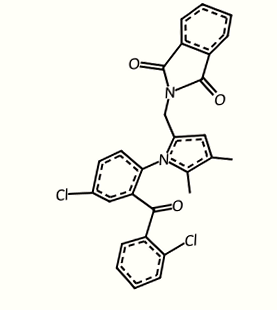 Cc1cc(CN2C(=O)c3ccccc3C2=O)n(-c2ccc(Cl)cc2C(=O)c2ccccc2Cl)c1C